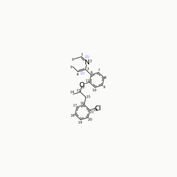 C/C=N\C(=C/C)c1ccccc1OC(C)Cc1ccccc1Cl